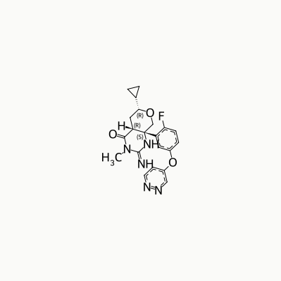 CN1C(=N)N[C@@]2(c3cc(Oc4ccnnc4)ccc3F)CO[C@@H](C3CC3)C[C@H]2C1=O